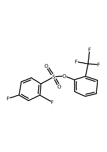 O=S(=O)(Oc1ccccc1C(F)(F)F)c1ccc(F)cc1F